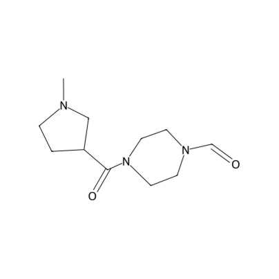 CN1CCC(C(=O)N2CCN(C=O)CC2)C1